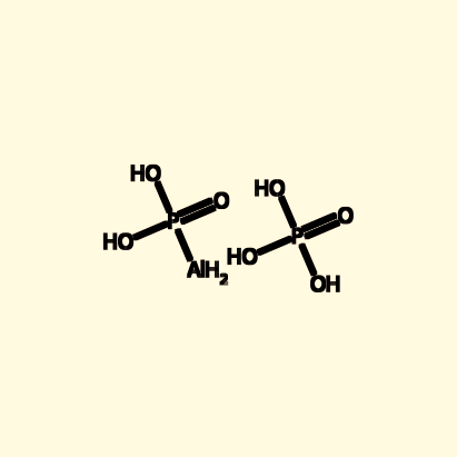 O=P(O)(O)O.O=[P](O)(O)[AlH2]